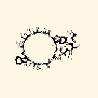 CC(C)C[C@H]1C(=O)N[C@@H](C)C(=O)N[C@@H](C(C)C)C(=O)N[C@@H](Cc2ccccc2)C(=O)N[C@H](C(=O)N(C)C(C)C(=O)NC(CO)C(=O)NCC(N)=O)CC(=O)NCC(=O)N[C@@H](C)C(=O)N(C)[C@@H](Cc2ccccc2)C(=O)NCC(=O)N1C